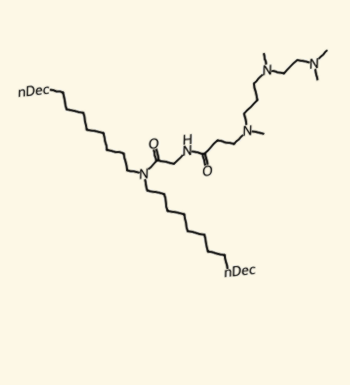 CCCCCCCCCCCCCCCCCCN(CCCCCCCCCCCCCCCCCC)C(=O)CNC(=O)CCN(C)CCCN(C)CCN(C)C